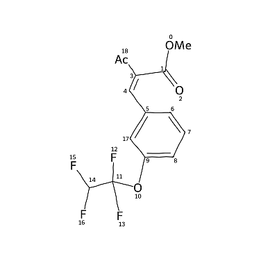 COC(=O)C(=Cc1cccc(OC(F)(F)C(F)F)c1)C(C)=O